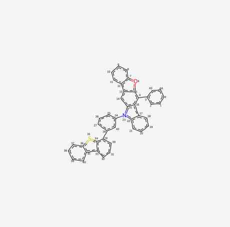 c1ccc(-c2c3oc4ccccc4c3cc3c2c2ccccc2n3-c2cccc(-c3cccc4c3sc3ccccc34)c2)cc1